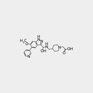 COc1cc2[nH]nc(C(O)NCC3CCN(CC(=O)O)CC3)c2cc1-c1cccnc1